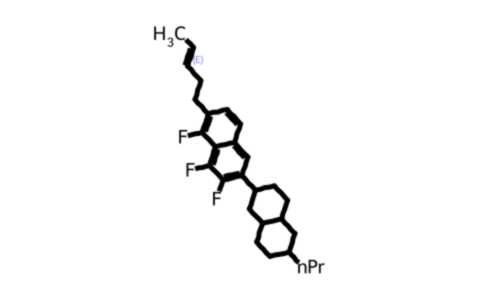 C/C=C/CCc1ccc2cc(C3CCC4CC(CCC)CCC4C3)c(F)c(F)c2c1F